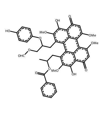 COc1c(O)c2c(=O)cc(OC)c3c4c(OC)cc(=O)c5c(O)c(OC)c(CC(COC=O)Oc6ccc(O)cc6)c(c(c1CC(C)OC(=O)c1ccccc1)c23)c54